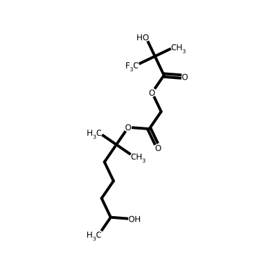 CC(O)CCCC(C)(C)OC(=O)COC(=O)C(C)(O)C(F)(F)F